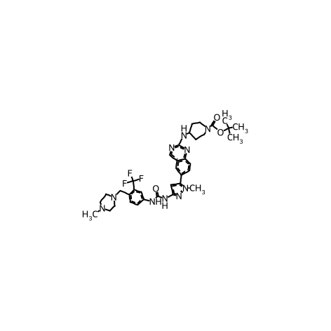 CN1CCN(Cc2ccc(NC(=O)Nc3cc(-c4ccc5nc(NC6CCN(C(=O)OC(C)(C)C)CC6)ncc5c4)n(C)n3)cc2C(F)(F)F)CC1